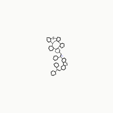 C1=C(/C=C(\c2ccccc2)c2ccc3sc4ccc(C=C(c5ccccc5)c5ccccc5)cc4c3c2)CCC2=C1c1ccccc1-c1cccc3c1CC(c1ccccc1S3)c1ccccc12